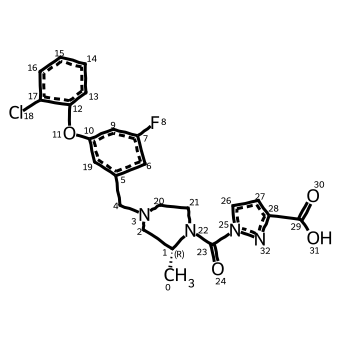 C[C@@H]1CN(Cc2cc(F)cc(Oc3ccccc3Cl)c2)CCN1C(=O)n1ccc(C(=O)O)n1